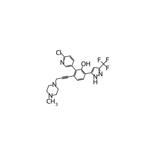 CN1CCN(CC#Cc2ccc(-c3cc(C(F)(F)F)n[nH]3)c(O)c2-c2ccc(Cl)nc2)CC1